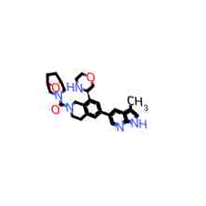 Cc1c[nH]c2ncc(-c3cc4c(c([C@@H]5COCCN5)c3)CN(C(=O)N3CC5CCC(C3)O5)CC4)cc12